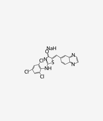 O=C1N=C(Nc2c(Cl)cc(Cl)cc2Cl)S/C1=C\c1ccc2nccnc2c1.[NaH]